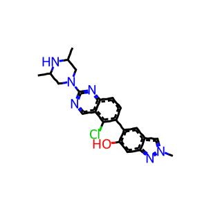 CC1CN(c2ncc3c(Cl)c(-c4cc5cn(C)nc5cc4O)ccc3n2)CC(C)N1